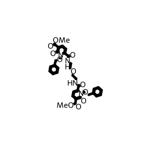 COC(=O)c1ccc(C(=O)NCCOCCNC(=O)c2ccc(C(=O)OC)c(=O)n2OCc2ccccc2)n(OCc2ccccc2)c1=O